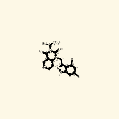 CC[C@@H](C(=O)O)n1c(=O)c2cnccc2n(Cc2nsc3cc(C)cc(C)c23)c1=O